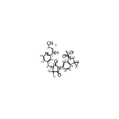 C[C@@H](CC#N)Nc1cc(CN2C(=O)N(c3ccc4c(c3)N(S(C)(=O)=O)CC43CC3)C(=O)C2(C)C)ccn1